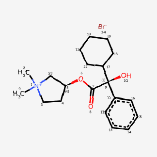 C[N+]1(C)CC[C@H](OC(=O)[C@@](O)(c2ccccc2)C2CCCCC2)C1.[Br-]